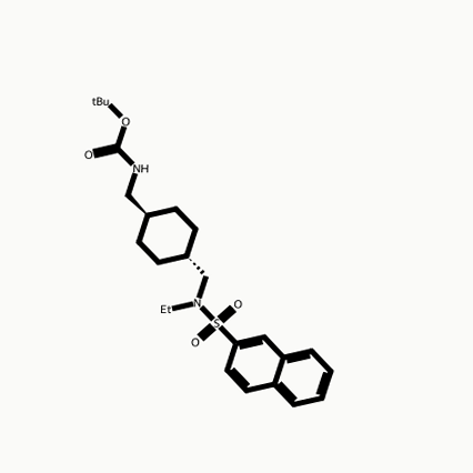 CCN(C[C@H]1CC[C@H](CNC(=O)OC(C)(C)C)CC1)S(=O)(=O)c1ccc2ccccc2c1